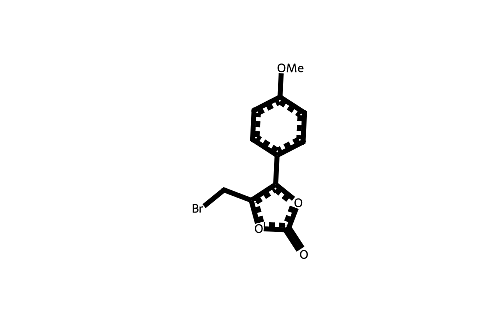 COc1ccc(-c2oc(=O)oc2CBr)cc1